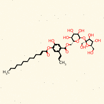 C/C=C/c1cc(OC(=O)/C=C/CCCCCCCCCC)c(O)cc1C(=O)OC[C@H]1O[C@H](O[C@]2(CO)O[C@H](CO)[C@@H](O)[C@@H]2O)[C@H](O)[C@@H](O)[C@@H]1O